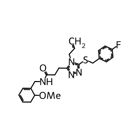 C=CCn1c(CCC(=O)NCC2=CC=CCC2OC)nnc1SCc1ccc(F)cc1